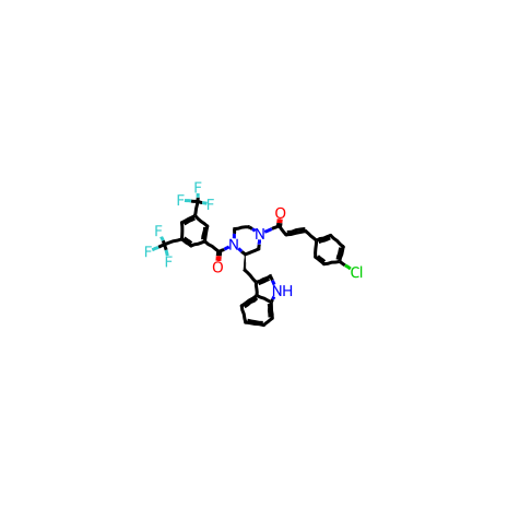 O=C(/C=C/c1ccc(Cl)cc1)N1CCN(C(=O)c2cc(C(F)(F)F)cc(C(F)(F)F)c2)[C@H](Cc2c[nH]c3ccccc23)C1